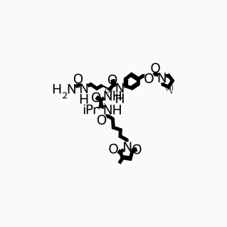 CC1=CC(=O)N(CCCCCC(=O)N[C@H](C(=O)N[C@@H](CCCNC(N)=O)C(=O)Nc2ccc(COC(=O)N3CC[C@H](C)C3)cc2)C(C)C)C1=O